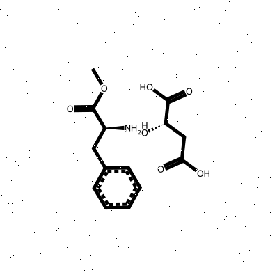 COC(=O)[C@@H](N)Cc1ccccc1.O=C(O)C[C@H](O)C(=O)O